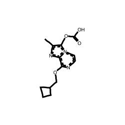 Cc1nc2c(OCC3CCC3)nccn2c1OC(=O)O